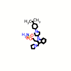 CC(C)C1CCC(N2CCC(n3c(CCOS(N)(=O)=O)c(CN4CCCC4)c4ccccc43)CC2)CC1